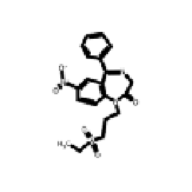 CCS(=O)(=O)CCCN1C(=O)CN=C(c2ccccc2)c2cc([N+](=O)[O-])ccc21